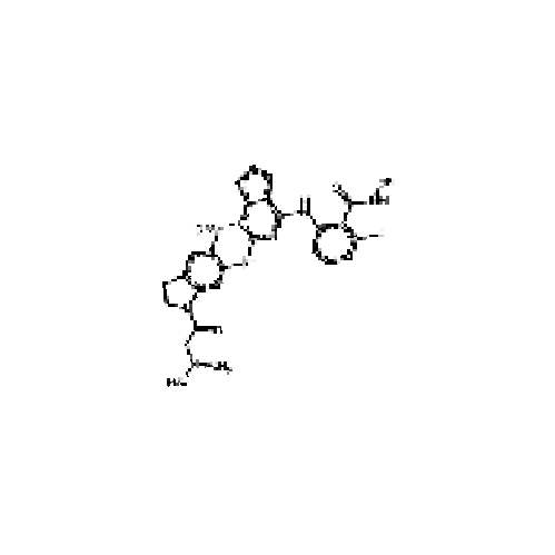 CCCNC(=O)c1c(F)cccc1Nc1nc(Nc2cc3c(cc2OC)CCN3C(=O)CN(C)C)[nH]c2nccc1-2